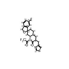 O=C(OC(=O)C(F)(F)F)C(Cc1cscn1)CN1CCC2(CC1)OCc1ccc(F)cc12